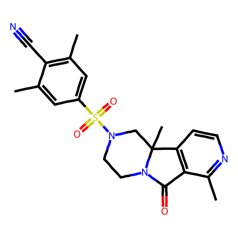 Cc1cc(S(=O)(=O)N2CCN3C(=O)c4c(ccnc4C)C3(C)C2)cc(C)c1C#N